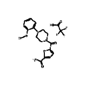 CCOc1ccccc1N1CCN(C(=O)c2ccc(C(=O)C(F)(F)F)s2)CC1.O=C(O)C(F)(F)F